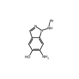 CC(C)Nn1ncc2cc(O)c(N)cc21